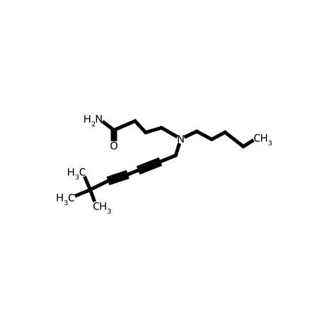 CCCCCN(CC#CC#CC(C)(C)C)CCCC(N)=O